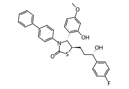 COc1ccc([C@@H]2[C@@H](CC[C@H](O)c3ccc(F)cc3)SC(=O)N2c2ccc(-c3ccccc3)cc2)c(O)c1